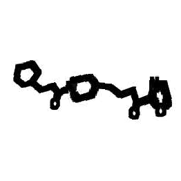 O=C(CCCC1CCN(C(=O)CCC2CCCCC2)CC1)c1ncco1